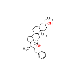 CCC1(O)CCC2(C)C(CCC3C2CCC2(C)C3CCC2[C@H](C)[C@H](O)Cc2ccccc2)C1